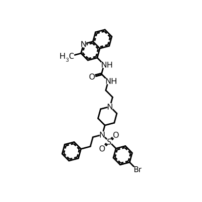 Cc1cc(NC(=O)NCCN2CCC(N(CCc3ccccc3)S(=O)(=O)c3ccc(Br)cc3)CC2)c2ccccc2n1